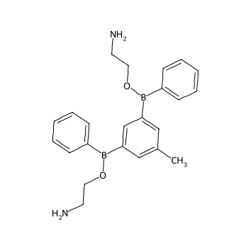 Cc1cc(B(OCCN)c2ccccc2)cc(B(OCCN)c2ccccc2)c1